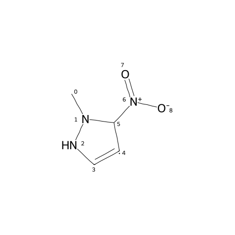 CN1NC=[C]C1[N+](=O)[O-]